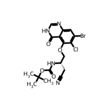 CC(C)(C)OC(=O)N[C@@H](CC#N)COc1c(Cl)c(Br)cc2nc[nH]c(=O)c12